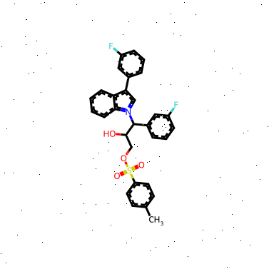 Cc1ccc(S(=O)(=O)OCC(O)C(c2cccc(F)c2)n2cc(-c3cccc(F)c3)c3ccccc32)cc1